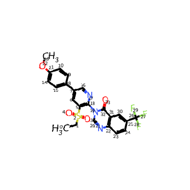 CCS(=O)(=O)c1cc(-c2ccc(OC)cc2)cnc1-n1cnc2ccc(C(F)(F)F)cc2c1=O